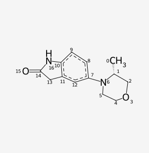 C[C@@H]1COCCN1c1ccc2c(c1)CC(=O)N2